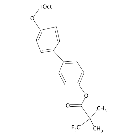 CCCCCCCCOc1ccc(-c2ccc(OC(=O)C(C)(C)C(F)(F)F)cc2)cc1